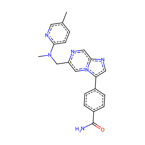 Cc1ccc(N(C)Cc2cn3c(-c4ccc(C(N)=O)cc4)cnc3cn2)nc1